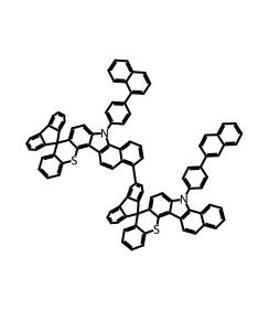 c1ccc2c(c1)Sc1c(ccc3c1c1ccc4ccccc4c1n3-c1ccc(-c3ccc4ccccc4c3)cc1)C21c2ccccc2-c2cc(-c3cccc4c3ccc3c5c6c(ccc5n(-c5ccc(-c7cccc8ccccc78)cc5)c43)C3(c4ccccc4S6)c4ccccc4-c4ccccc43)ccc21